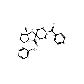 Cc1ccccc1[C@@H]1CC[C@H]2OC3(CCN(C(=O)c4ccccc4)CC3)C(=O)N21